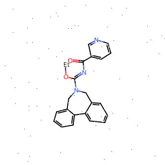 CCOC(=NC(=O)c1cccnc1)N1Cc2ccccc2-c2ccccc2C1